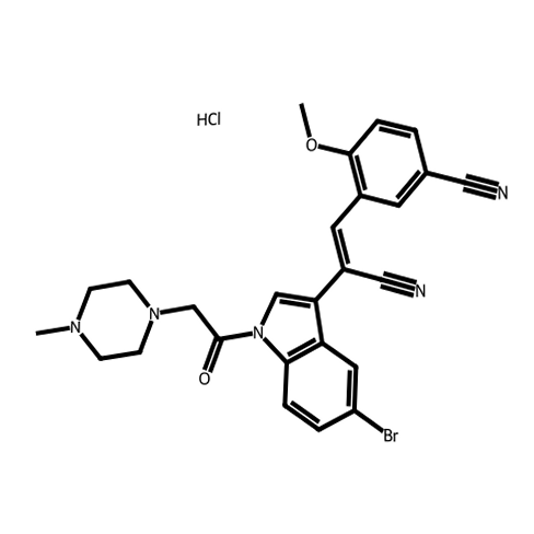 COc1ccc(C#N)cc1C=C(C#N)c1cn(C(=O)CN2CCN(C)CC2)c2ccc(Br)cc12.Cl